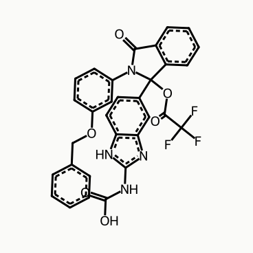 O=C(O)Nc1nc2cc(C3(OC(=O)C(F)(F)F)c4ccccc4C(=O)N3c3cccc(OCc4ccccc4)c3)ccc2[nH]1